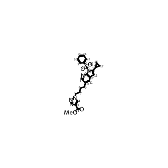 COC(=O)c1cn(CCCCc2cc3cc(C4CC4)n(S(=O)(=O)c4ccccc4)c3nn2)nn1